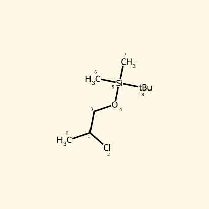 CC(Cl)CO[Si](C)(C)C(C)(C)C